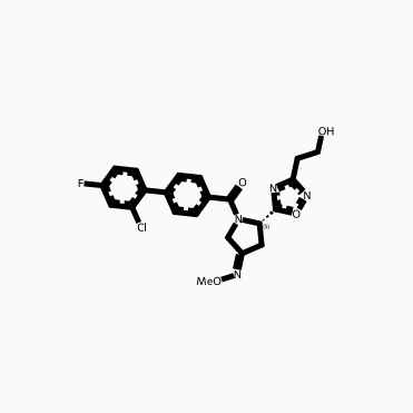 CON=C1C[C@@H](c2nc(CCO)no2)N(C(=O)c2ccc(-c3ccc(F)cc3Cl)cc2)C1